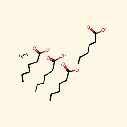 CCCCCC(=O)[O-].CCCCCC(=O)[O-].CCCCCC(=O)[O-].CCCCCC(=O)[O-].[Hf+4]